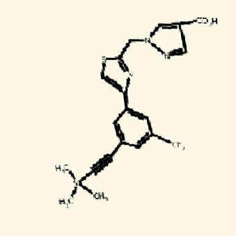 C[Si](C)(C)C#Cc1cc(-c2csc(Cn3cc(C(=O)O)cn3)n2)cc(C(F)(F)F)c1